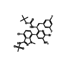 Cn1nc(NS(C)(=O)=O)c2c(Cl)ccc(-c3cc(N)c(Br)nc3[C@H](Cc3cc(F)cc(F)c3)NC(=O)OC(C)(C)C)c21